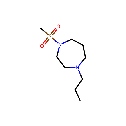 CCCN1CCCN(S(C)(=O)=O)CC1